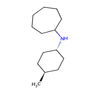 C[C@H]1CC[C@H](NC2CCCCCC2)CC1